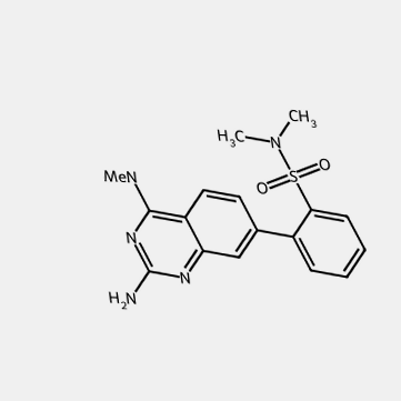 CNc1nc(N)nc2cc(-c3ccccc3S(=O)(=O)N(C)C)ccc12